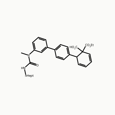 CCCCCCCNC(=O)N(C)c1cccc(-c2ccc(C3C=CC=CC3(C(=O)O)C(=O)OCC)cc2)c1